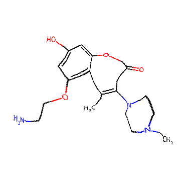 Cc1c(N2CCN(C)CC2)c(=O)oc2cc(O)cc(OCCN)c12